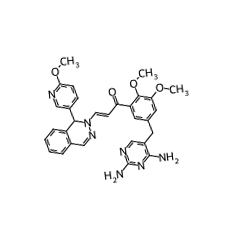 COc1ccc(C2c3ccccc3C=NN2/C=C/C(=O)c2cc(Cc3cnc(N)nc3N)cc(OC)c2OC)cn1